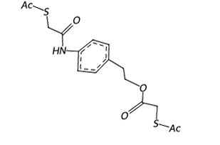 CC(=O)SCC(=O)Nc1ccc(CCOC(=O)CSC(C)=O)cc1